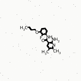 CC=CCOc1cccc(NC(=O)c2cc(C)c(C)nc2N)c1F